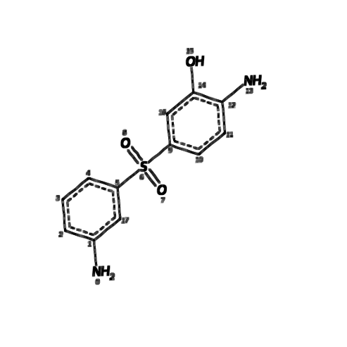 Nc1cccc(S(=O)(=O)c2ccc(N)c(O)c2)c1